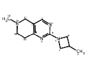 CC1CN(c2ncc3c(n2)CCN(C)C3)C1